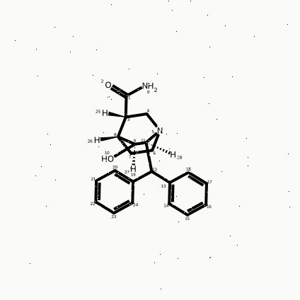 NC(=O)[C@@H]1CN2CC[C@H]1[C@H](O)[C@@H]2C(c1ccccc1)c1ccccc1